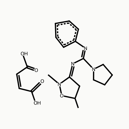 CC1CC(=NC(=Nc2ccccc2)N2CCCC2)N(C)O1.O=C(O)/C=C\C(=O)O